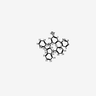 Brc1cc(-c2ccccn2)cc(-n2c3cccnc3c3c4ccccc4n(-c4ccccc4)c32)c1